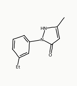 CCc1cccc(-n2[nH]c(C)cc2=O)c1